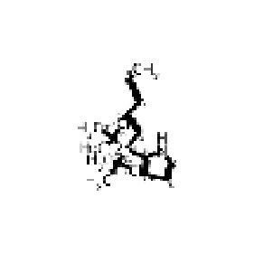 CC=CC=[CH][Zr]([c]1ccc[nH]1)([C](C)(C)C)[C](C)(C)C